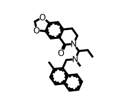 CCC(N(C)Cc1c(C)ccc2ccccc12)N1CCc2cc3c(cc2C1=O)OCO3